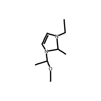 CCN1C=CN(C(C)OC)C1C